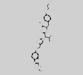 COC(=O)C(Cc1ccc(OCCF)cc1)NC(=O)C(C(C)C)n1cc(COc2ccc3nc(S(N)(=O)=O)sc3c2)nn1